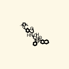 C[C@@H]1CC[C@@H](C)N1Cc1ccc2c(c1)OCCC2NC(=O)C[C@@H](NS(=O)(=O)c1ccc2ccccc2c1)c1ccccc1